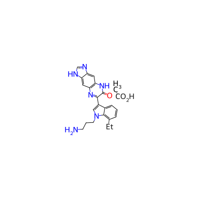 CC(=O)O.CCc1cccc2c(-c3nc4cc5[nH]cnc5cc4[nH]c3=O)cn(CCCN)c12